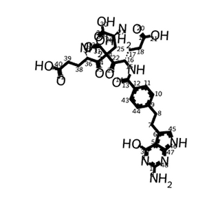 Nc1nc(O)c2c(CCc3ccc(C(=O)N[C@@H](CCC(=O)O)C(=O)C(C[C@H](N)C(=O)O)(C(=O)O)C(=O)[C@@H](N)CCC(=O)O)cc3)c[nH]c2n1